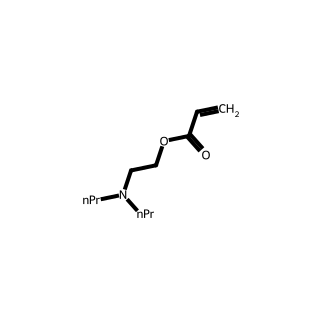 C=CC(=O)OCCN(CCC)CCC